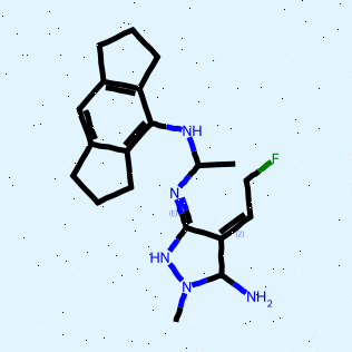 CC(/N=C1/NN(C)C(N)/C1=C/CF)Nc1c2c(cc3c1CCC3)CCC2